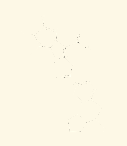 CC(=O)Oc1c(Cl)cc2c(C(N)=O)c(NC(=O)c3ccc(CN(C(C)=O)C4CCCC4)cc3)sc2c1Cl